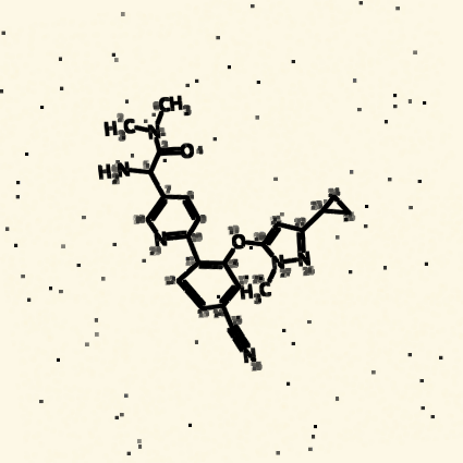 CN(C)C(=O)C(N)c1ccc(-c2ccc(C#N)cc2Oc2cc(C3CC3)nn2C)nc1